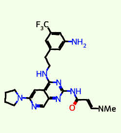 CNC=CC(=O)Nc1nc(NCCc2cc(N)cc(C(F)(F)F)c2)c2cc(N3CCCC3)ncc2n1